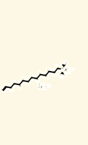 C=CCCCCCCCCCCCCS(=O)(=O)[O-].[Na+]